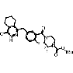 C[C@@H]1CN(C(=O)c2cc(Cc3n[nH]c(=O)c4c3CCCC4)ccc2F)CCN1C(=O)OC(C)(C)C